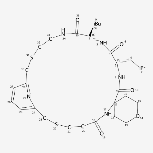 CC[C@H](C)[C@@H]1NC(=O)[C@H](CC(C)C)NC(=O)C2(CCOCC2)NC(=O)CCSCc2cccc(n2)CSCCNC1=O